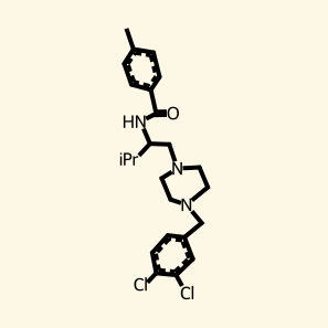 Cc1ccc(C(=O)NC(CN2CCN(Cc3ccc(Cl)c(Cl)c3)CC2)C(C)C)cc1